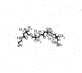 CC(C)CCNC(=O)CC(C)(N)COCC(C)(C)CNC(=O)CC(C)(C)COCC(C)(C)CNC(C)C